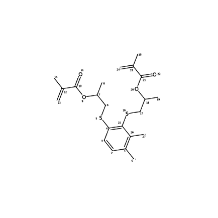 [CH2]c1ccc(SCC(C)OC(=O)C(=C)C)c(SCC(C)OC(=O)C(=C)C)c1[CH2]